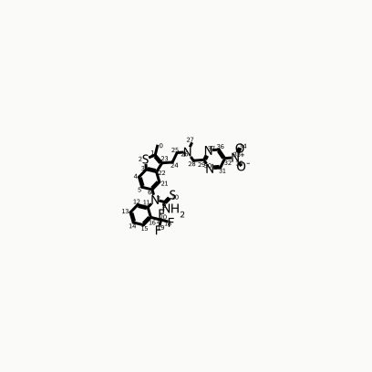 Cc1sc2ccc(N(C(N)=S)c3ccccc3C(F)(F)F)cc2c1CCN(C)Cc1ncc([N+](=O)[O-])cn1